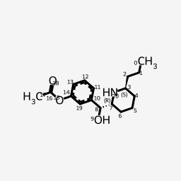 CCC[C@H]1CCC[C@H](C(O)c2cccc(OC(C)=O)c2)N1